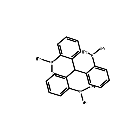 CC(C)P(c1ccccc1C(c1ccccc1P(C(C)C)C(C)C)c1ccccc1P(C(C)C)C(C)C)C(C)C